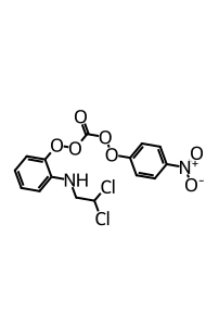 O=C(OOc1ccc([N+](=O)[O-])cc1)OOc1ccccc1NCC(Cl)Cl